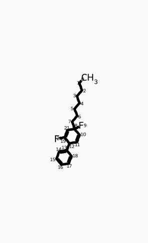 CCCCCCCCC1(F)C=CC(c2ccccc2)C(F)=C1